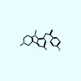 C=C(Cc1cc(C)cc2c3c(n(C)c12)CCN(C)C3)c1ccc(F)cc1